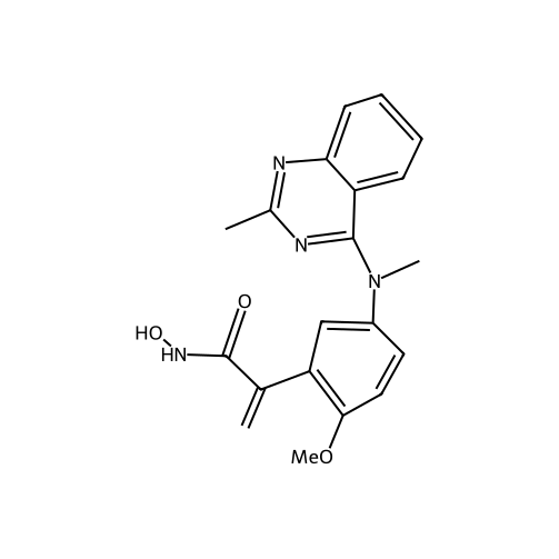 C=C(C(=O)NO)c1cc(N(C)c2nc(C)nc3ccccc23)ccc1OC